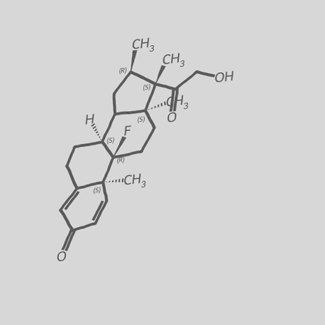 C[C@@H]1CC2[C@@H]3CCC4=CC(=O)C=C[C@]4(C)[C@@]3(F)CC[C@]2(C)[C@@]1(C)C(=O)CO